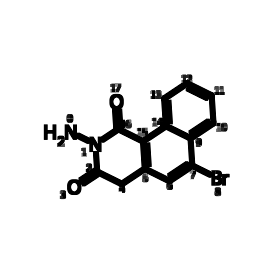 NN1C(=O)Cc2cc(Br)c3ccccc3c2C1=O